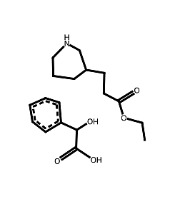 CCOC(=O)CCC1CCCNC1.O=C(O)C(O)c1ccccc1